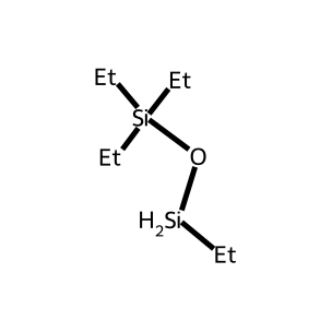 CC[SiH2]O[Si](CC)(CC)CC